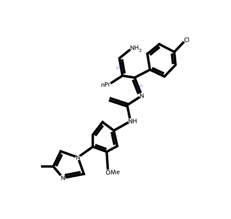 C=C(/N=C(\C(=C/N)CCC)c1ccc(Cl)cc1)Nc1ccc(-n2cnc(C)c2)c(OC)c1